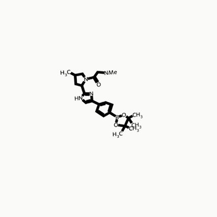 CNCC(=O)N1CC(C)CC1c1nc(-c2ccc(B3OC(C)(C)C(C)(C)O3)cc2)c[nH]1